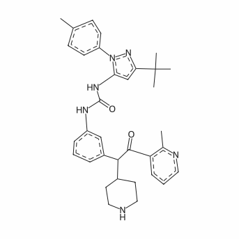 Cc1ccc(-n2nc(C(C)(C)C)cc2NC(=O)Nc2cccc(C(C(=O)c3cccnc3C)C3CCNCC3)c2)cc1